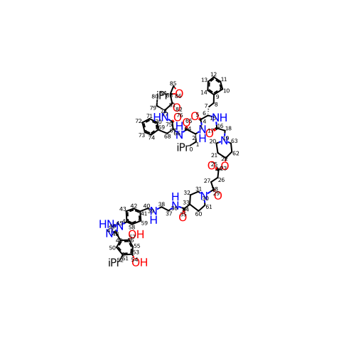 CC(C)C[C@H](NC(=O)[C@H](CCc1ccccc1)NC(=O)CN1CCC(OC(=O)CCC(=O)N2CCC(C(=O)NCCNCc3ccc(-n4[nH]nc4-c4cc(C(C)C)c(O)cc4O)cc3)CC2)CC1)C(=O)N[C@@H](Cc1ccccc1)C(=O)N[C@@H](CC(C)C)C(=O)[C@@]1(C)CO1